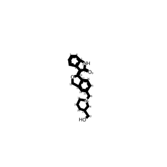 O=C1Nc2ccccc2C1=C1OCc2cc(CN3CCCC(CO)C3)ccc21